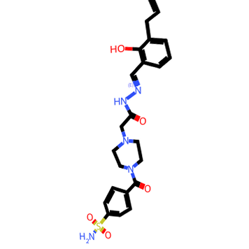 C=CCc1cccc(/C=N/NC(=O)CN2CCN(C(=O)c3ccc(S(N)(=O)=O)cc3)CC2)c1O